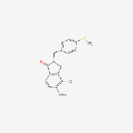 COc1ccc2c(c1Cl)CC(Cc1ccc(SC(F)(F)F)cc1)C2=O